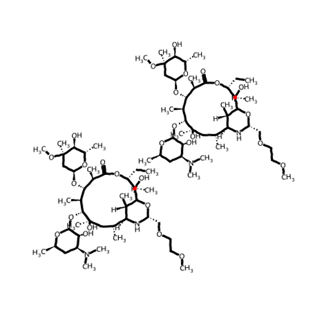 CC[C@H]1OC(=O)[C@H](C)[C@@H](O[C@H]2C[C@@](C)(OC)[C@@H](O)[C@H](C)O2)[C@H](C)[C@@H](O[C@@H]2O[C@H](C)C[C@H](N(C)C)[C@H]2O)[C@](C)(O)C[C@@H](C)[C@@H]2N[C@@H](COCCOC)O[C@@H]([C@H]2C)[C@]1(C)O.CC[C@H]1OC(=O)[C@H](C)[C@@H](O[C@H]2C[C@@](C)(OC)[C@@H](O)[C@H](C)O2)[C@H](C)[C@@H](O[C@@H]2O[C@H](C)C[C@H](N(C)C)[C@H]2O)[C@](C)(O)C[C@@H](C)[C@@H]2N[C@@H](COCCOC)O[C@@H]([C@H]2C)[C@]1(C)O